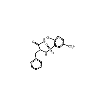 NC(=O)C(Cc1ccccc1)NS(=O)(=O)c1cc(C(=O)O)ccc1Cl